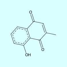 CC1=CC(=O)c2cccc(O)c2C1=O